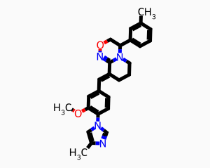 COc1cc(/C=C2\CCCN3C2=NOCC3c2cccc(C)c2)ccc1-n1cnc(C)c1